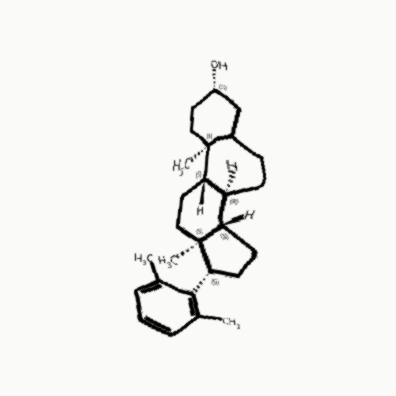 Cc1cccc(C)c1[C@H]1CC[C@H]2[C@@H]3CCC4C[C@@H](O)CC[C@]4(C)[C@H]3CC[C@]12C